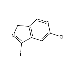 Clc1cc2c(cn1)CN=C2I